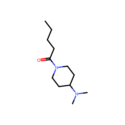 CCCCC(=O)N1CCC(N(C)C)CC1